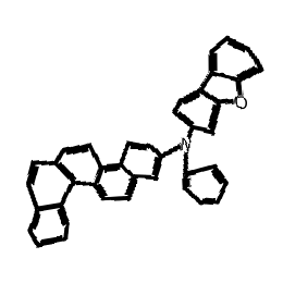 c1ccc(N(c2ccc3c(ccc4c3ccc3ccc5ccccc5c34)c2)c2ccc3c(c2)oc2ccccc23)cc1